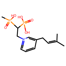 CC(C)=CCc1ccc[n+](CC(P(C)(=O)O)P(=O)(O)O)c1